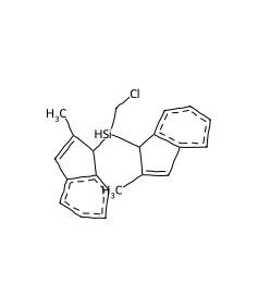 CC1=Cc2ccccc2C1[SiH](CCl)C1C(C)=Cc2ccccc21